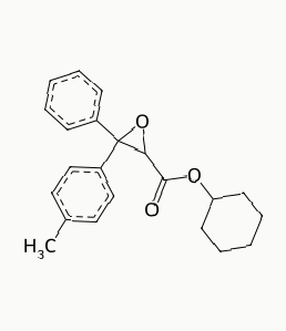 Cc1ccc(C2(c3ccccc3)OC2C(=O)OC2CCCCC2)cc1